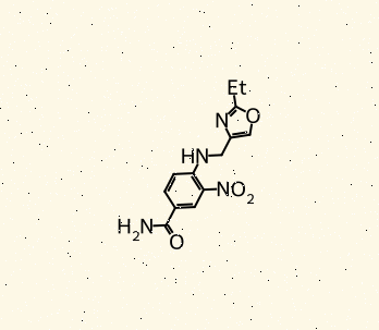 CCc1nc(CNc2ccc(C(N)=O)cc2[N+](=O)[O-])co1